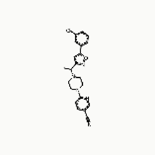 CC(c1cc(-c2cccc(Cl)c2)on1)N1CCN(c2ccc(C#N)cn2)CC1